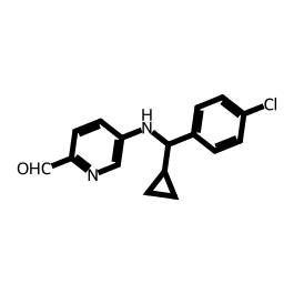 O=Cc1ccc(NC(c2ccc(Cl)cc2)C2CC2)cn1